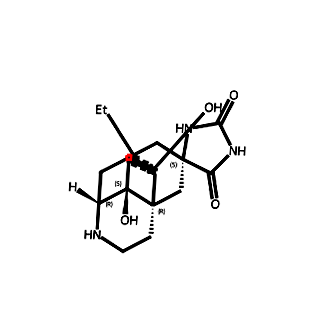 CCc1cc(O)cc2c1C[C@H]1NCC[C@@]23C[C@]2(CC[C@@]13O)NC(=O)NC2=O